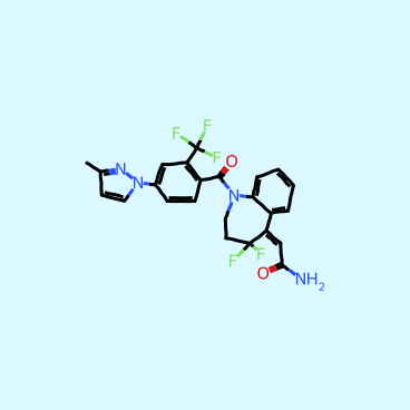 Cc1ccn(-c2ccc(C(=O)N3CCC(F)(F)C(=CC(N)=O)c4ccccc43)c(C(F)(F)F)c2)n1